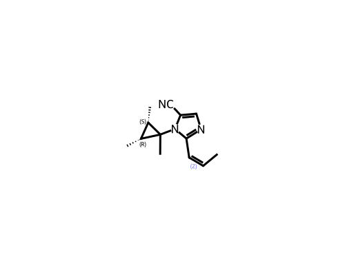 C/C=C\c1ncc(C#N)n1C1(C)[C@H](C)[C@@H]1C